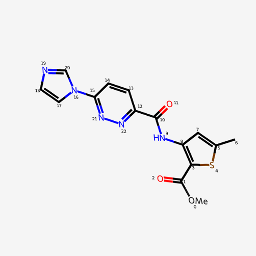 COC(=O)c1sc(C)cc1NC(=O)c1ccc(-n2ccnc2)nn1